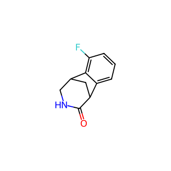 O=C1NCC2CC1c1cccc(F)c12